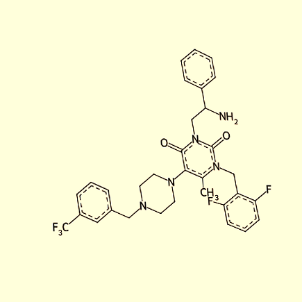 Cc1c(N2CCN(Cc3cccc(C(F)(F)F)c3)CC2)c(=O)n(CC(N)c2ccccc2)c(=O)n1Cc1c(F)cccc1F